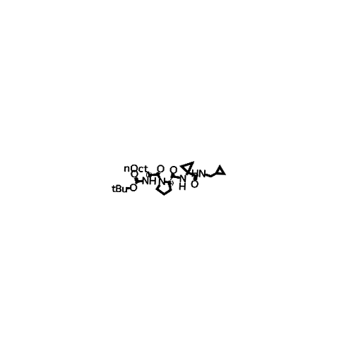 CCCCCCCC[C@H](NC(=O)OC(C)(C)C)C(=O)N1CCC[C@H]1C(=O)NC1(C(=O)NCC2CC2)CC1